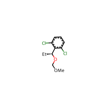 CC[C@H](OCOC)c1c(Cl)cccc1Cl